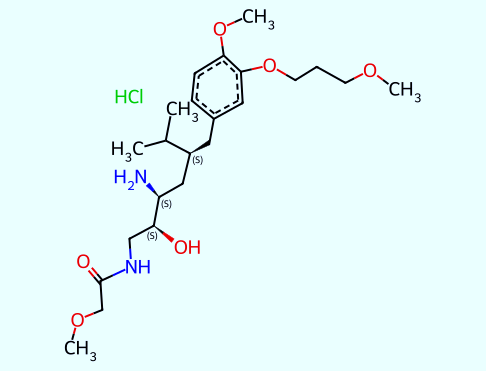 COCCCOc1cc(C[C@@H](C[C@H](N)[C@@H](O)CNC(=O)COC)C(C)C)ccc1OC.Cl